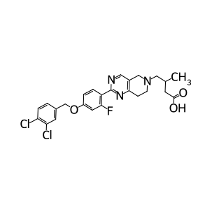 CC(CC(=O)O)CN1CCc2nc(-c3ccc(OCc4ccc(Cl)c(Cl)c4)cc3F)ncc2C1